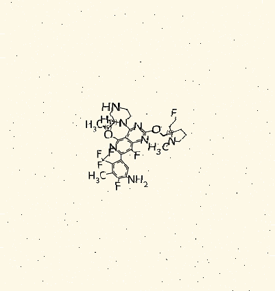 Cc1c(F)c(N)cc(-c2nc3c4c(nc(OC[C@@]5(CCF)CCCN5C)nc4c2F)N2CCNC[C@H]2[C@H](C)O3)c1C(F)(F)F